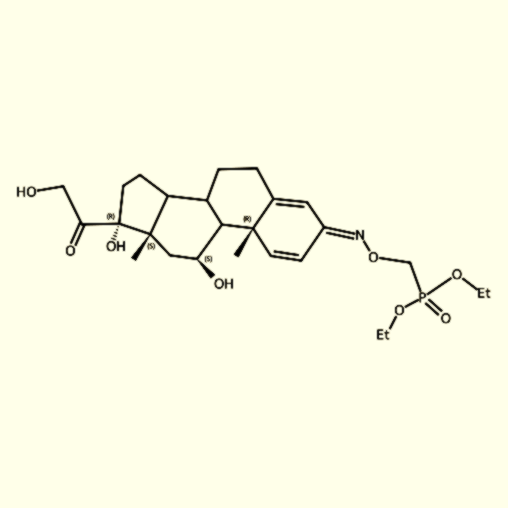 CCOP(=O)(CON=C1C=C[C@@]2(C)C(=C1)CCC1C2[C@@H](O)C[C@@]2(C)C1CC[C@]2(O)C(=O)CO)OCC